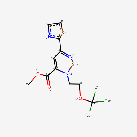 COC(=O)C1=CC(c2nccs2)=NSN1CCOC(F)(F)F